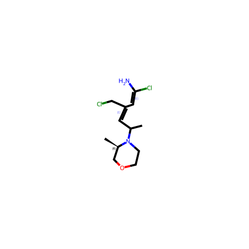 CC(/C=C(\C=C(/N)Cl)CCl)N1CCOC[C@H]1C